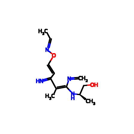 C=N/C(N[C@H](C)CO)=C(/C)C(=N)/C=C/O/N=C/C